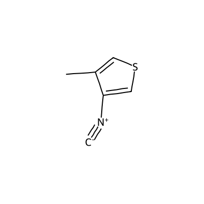 [C-]#[N+]c1cscc1C